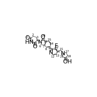 O=C1CCC(N2Cc3cc(-c4nccc(CN5CCC(O)C5)c4F)ccc3C2=O)C(=O)N1